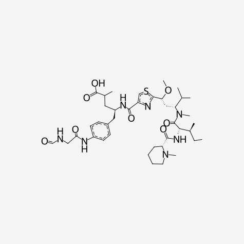 CC[C@H](C)[C@H](NC(=O)[C@H]1CCCCN1C)C(=O)N(C)[C@H](C[C@@H](OC)c1nc(C(=O)N[C@@H](Cc2ccc(NC(=O)CNC=O)cc2)CC(C)C(=O)O)cs1)C(C)C